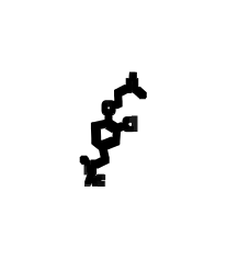 CC(=O)N(C)Cc1ccc(OCCN(C)C)c(Cl)c1